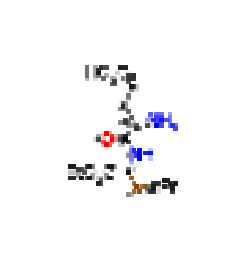 CCCSC(NC(=O)[C@@H](N)CCC(=O)O)C(=O)OCC